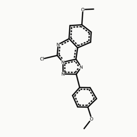 COc1ccc(-c2nc3c4ccc(OC)cc4nc(Cl)n3n2)cc1